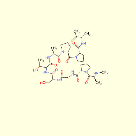 CN[C@@H](C)C(=O)N1CCC[C@H]1C(=O)NCC(=O)NC(CO)C(=O)N[C@H](C(=O)N[C@@H](C)C(=O)N1CCC[C@H]1C(=O)N1CCC[C@H]1C(=O)N[C@@H](C)C(C)=O)C(C)O